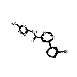 Cc1nnc(NC(=O)c2cc(-c3cccc(Br)c3)ncn2)o1